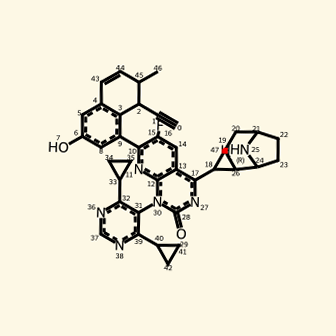 C#CC1c2c(cc(O)cc2-c2nc3c(cc2F)c(C2C4CC5CCC(N5)[C@H]42)nc(=O)n3-c2c(C3CC3)ncnc2C2CC2)C=CC1C